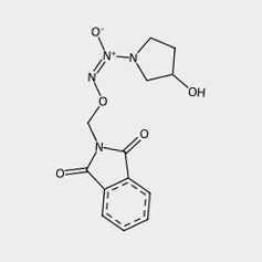 O=C1c2ccccc2C(=O)N1CO/N=[N+](/[O-])N1CCC(O)C1